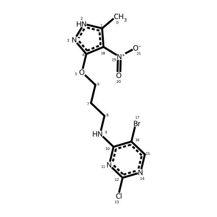 Cc1[nH]nc(OCCCNc2nc(Cl)ncc2Br)c1[N+](=O)[O-]